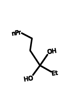 CCCCCC(O)(O)CC